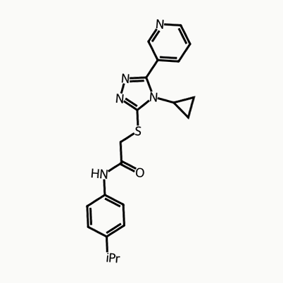 CC(C)c1ccc(NC(=O)CSc2nnc(-c3cccnc3)n2C2CC2)cc1